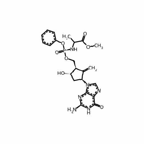 C=C1[C@H](CO[P@@](=O)(NC(C)C(=O)OC)Oc2ccccc2)[C@@H](O)C[C@@H]1n1cnc2c(=O)[nH]c(N)nc21